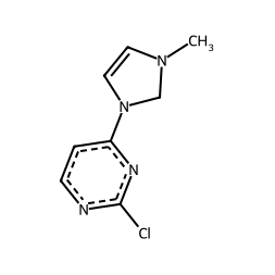 CN1C=CN(c2ccnc(Cl)n2)C1